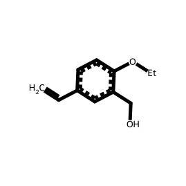 C=Cc1ccc(OCC)c(CO)c1